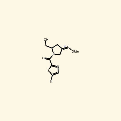 CO/N=C1/CC(CO)N(C(=O)c2ncc(Br)s2)C1